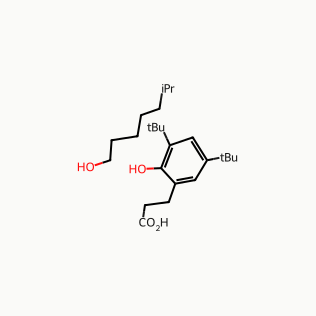 CC(C)(C)c1cc(CCC(=O)O)c(O)c(C(C)(C)C)c1.CC(C)CCCCCO